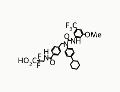 COc1cc(NC(=O)N(Cc2ccc(C(=O)NCC(F)(F)C(=O)O)cc2)c2ccc(C3CCCCC3)cc2)cc(C(F)(F)F)c1